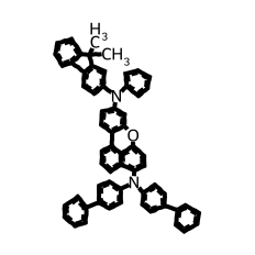 CC1(C)c2ccccc2-c2ccc(N(c3ccccc3)c3ccc4c(c3)Oc3ccc(N(c5ccc(-c6ccccc6)cc5)c5ccc(-c6ccccc6)cc5)c5cccc-4c35)cc21